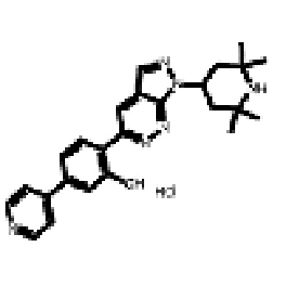 CC1(C)CC(n2ncc3cc(-c4ccc(-c5ccncc5)cc4O)nnc32)CC(C)(C)N1.Cl